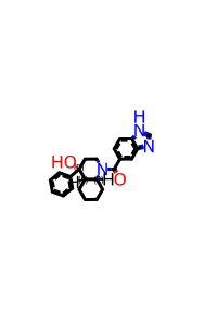 O=C(c1ccc2[nH]cnc2c1)N1CC[C@](O)(c2ccccc2)[C@H]2CCCC[C@H]21